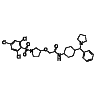 O=C(COC1CCN(S(=O)(=O)c2c(Cl)cc(Cl)cc2Cl)C1)NC1CCC(C(c2ccccc2)N2CCCC2)CC1